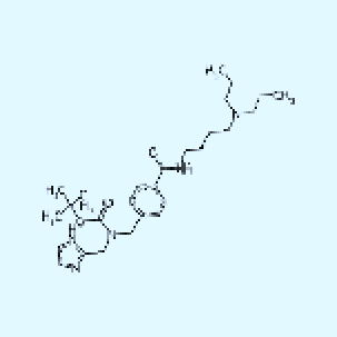 CCCN(CCC)CCCCNC(=O)c1ccc(CN(Cc2ncc[nH]2)C(=O)OC(C)(C)C)cc1